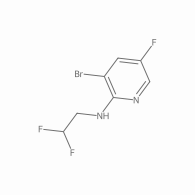 Fc1cnc(NCC(F)F)c(Br)c1